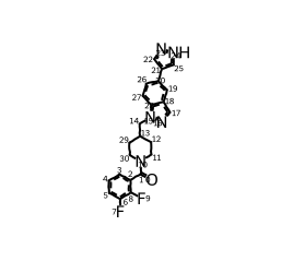 O=C(c1cccc(F)c1F)N1CCC(Cn2ncc3cc(-c4cn[nH]c4)ccc32)CC1